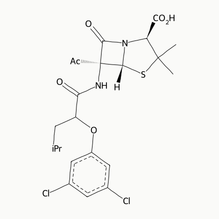 CC(=O)[C@]1(NC(=O)C(CC(C)C)Oc2cc(Cl)cc(Cl)c2)C(=O)N2[C@@H](C(=O)O)C(C)(C)S[C@@H]21